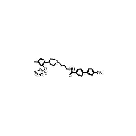 CCOP(=O)(OCC)Oc1cc(C)ccc1C1CCN(CCCCNC(=O)c2ccc(-c3ccc(C#N)cc3)cc2)CC1